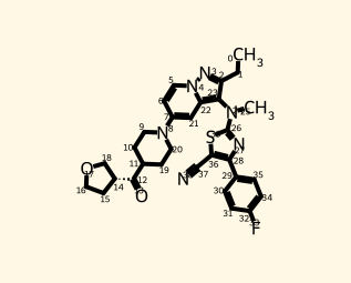 CCc1nn2ccc(N3CCC(C(=O)[C@@H]4CCOC4)CC3)cc2c1N(C)c1nc(-c2ccc(F)cc2)c(C#N)s1